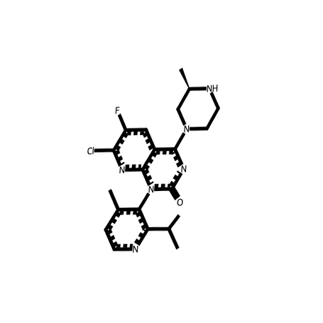 Cc1ccnc(C(C)C)c1-n1c(=O)nc(N2CCN[C@H](C)C2)c2cc(F)c(Cl)nc21